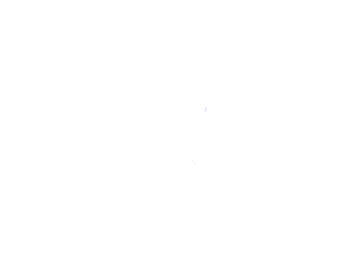 CC[N+](CC)(CC)CC(N)=O.Cc1cccc(C)c1